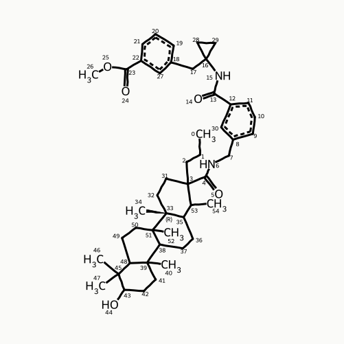 CCCC1(C(=O)NCc2cccc(C(=O)NC3(Cc4cccc(C(=O)OC)c4)CC3)c2)CC[C@]2(C)C(CCC3C4(C)CCC(O)C(C)(C)C4CCC32C)C1C